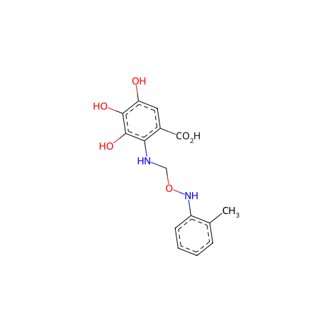 Cc1ccccc1NOCNc1c(C(=O)O)cc(O)c(O)c1O